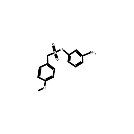 COc1ccc(CS(=O)(=O)Oc2cccc(N)c2)cc1